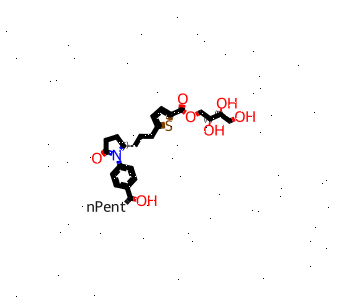 CCCCCC(O)c1ccc(N2C(=O)CC[C@@H]2CCCc2ccc(C(=O)OC[C@@H](O)[C@H](O)CO)s2)cc1